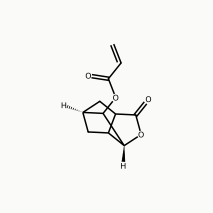 C=CC(=O)OC1[C@@H]2CC3C(=O)O[C@@H]1C3C2